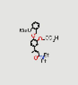 CCN(CC)C(=O)C=C(C)c1ccc(OCc2ccccc2OC)c(OCC(=O)O)c1